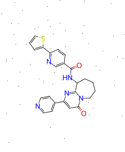 O=C(NC1CCCCn2c1nc(-c1ccncc1)cc2=O)c1ccc(-c2cccs2)nc1